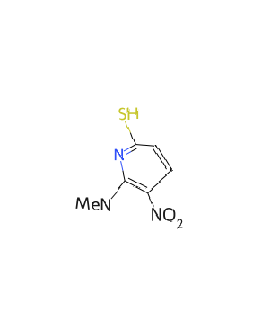 CNc1nc(S)ccc1[N+](=O)[O-]